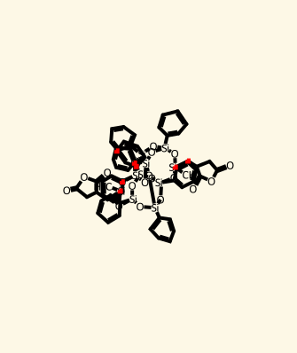 C[Si]1(CC2CC(=O)OC2=O)O[Si]2(c3ccccc3)O[Si]3(c4ccccc4)O[Si]4(c5ccccc5)O[Si](C)(CC5CC(=O)OC5=O)O[Si]5(c6ccccc6)O[Si](c6ccccc6)(O[Si](c6ccccc6)(O1)O[Si](c1ccccc1)(O5)O[Si](c1ccccc1)(O2)O4)O3